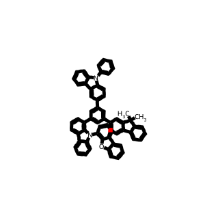 CC1(C)c2ccccc2-c2ccc(-c3cc(-c4ccc5c(c4)c4ccccc4n5-c4ccccc4)cc(-c4cccc5c6ccccc6n(-c6cccc7c6oc6ccccc67)c45)c3)cc21